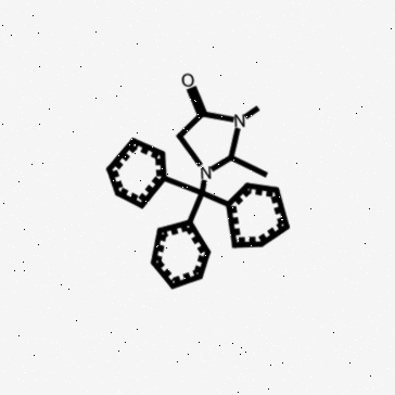 CC1N(C)C(=O)CN1C(c1ccccc1)(c1ccccc1)c1ccccc1